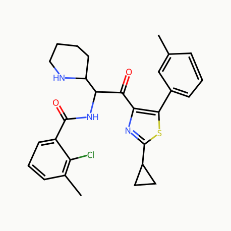 Cc1cccc(-c2sc(C3CC3)nc2C(=O)C(NC(=O)c2cccc(C)c2Cl)C2CCCCN2)c1